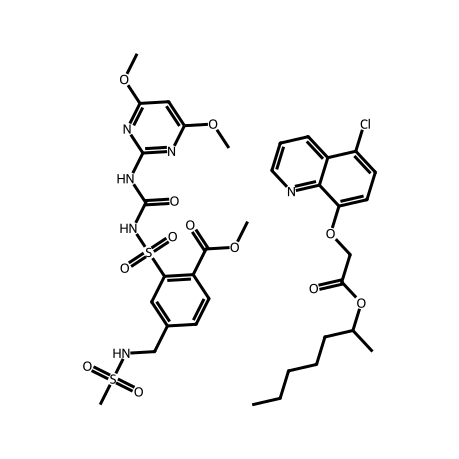 CCCCCC(C)OC(=O)COc1ccc(Cl)c2cccnc12.COC(=O)c1ccc(CNS(C)(=O)=O)cc1S(=O)(=O)NC(=O)Nc1nc(OC)cc(OC)n1